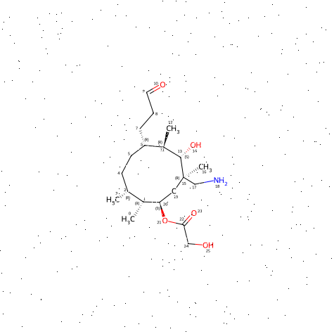 C[C@@H]1[C@H](C)CC[C@H](CCC=O)[C@@H](C)[C@H](O)[C@@](C)(CN)C[C@H]1OC(=O)CO